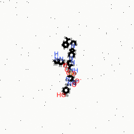 CC(C)c1ccccc1[C@@H]1CCCN1C1CC2(CCN(c3cc(Oc4cnc5[nH]ccc5c4)c(C(=O)NS(=O)(=O)c4cnc(NC[C@H]5CC[C@](C)(O)CC5)c([N+](=O)[O-])c4)cn3)CC2)C1